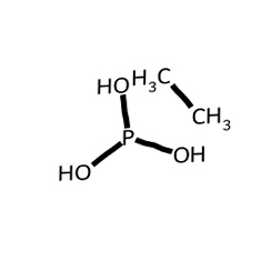 CC.OP(O)O